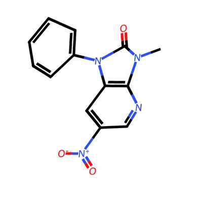 Cn1c(=O)n(-c2ccccc2)c2cc([N+](=O)[O-])cnc21